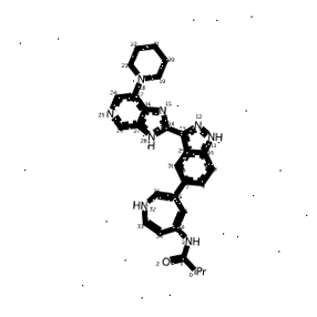 CC(C)C(=O)NC1=CC(c2ccc3[nH]nc(-c4nc5c(N6CCCCC6)cncc5[nH]4)c3c2)=CNC=C1